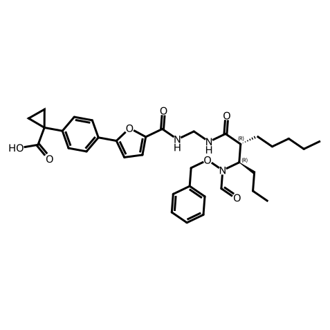 CCCCC[C@@H](C(=O)NCNC(=O)c1ccc(-c2ccc(C3(C(=O)O)CC3)cc2)o1)[C@@H](CCC)N(C=O)OCc1ccccc1